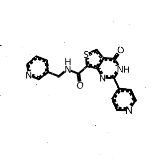 O=C(NCc1cccnc1)c1scc2c(=O)[nH]c(-c3ccncc3)nc12